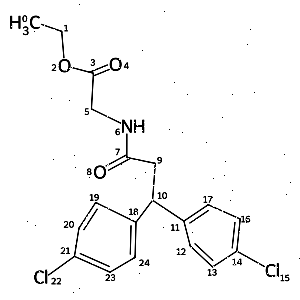 CCOC(=O)CNC(=O)CC(c1ccc(Cl)cc1)c1ccc(Cl)cc1